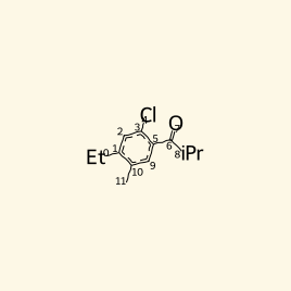 CCc1cc(Cl)c(C(=O)C(C)C)cc1C